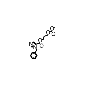 COC(=O)OCCCOC(=O)c1cncn1[C@H](C)c1ccccc1